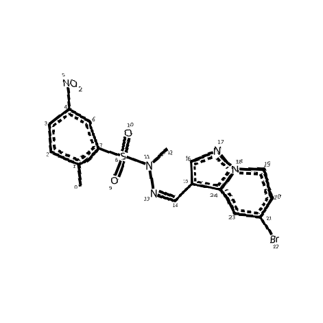 Cc1ccc([N+](=O)[O-])cc1S(=O)(=O)N(C)/N=C\c1cnn2ccc(Br)cc12